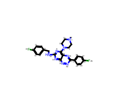 CN1CCN(c2nc(NCc3ccc(F)cc3)nc3nnc(-c4ccc(F)cc4)nc23)CC1